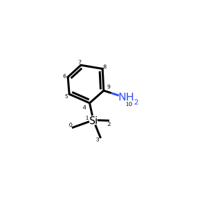 C[Si](C)(C)c1ccccc1N